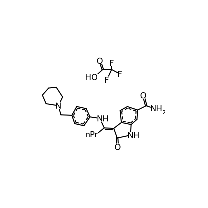 CCCC(Nc1ccc(CN2CCCCC2)cc1)=C1C(=O)Nc2cc(C(N)=O)ccc21.O=C(O)C(F)(F)F